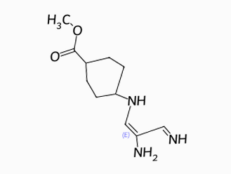 COC(=O)C1CCC(N/C=C(/N)C=N)CC1